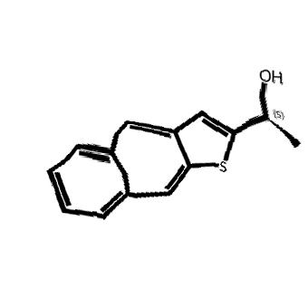 C[C@H](O)c1cc2cc3ccccc3cc2s1